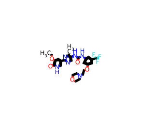 CCOc1cc(-c2ncc(NC(=O)Nc3cc(OCCN4CCOCC4)cc(C(F)(F)F)c3)c(C)n2)c[nH]c1=O